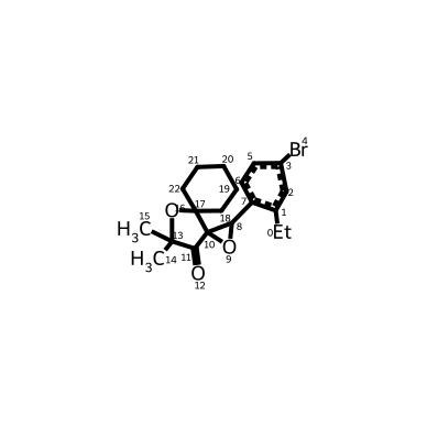 CCc1cc(Br)ccc1C1OC12C(=O)C(C)(C)OC21CCCCC1